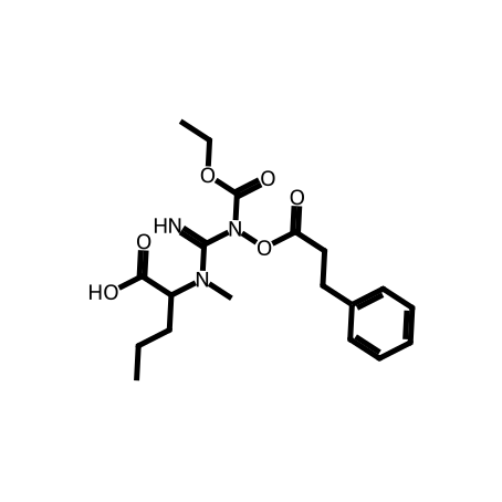 CCCC(C(=O)O)N(C)C(=N)N(OC(=O)CCc1ccccc1)C(=O)OCC